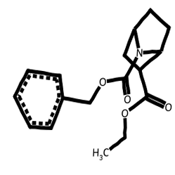 CCOC(=O)C1CC2CCC1N2C(=O)OCc1ccccc1